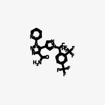 CC(c1ccc(C(F)(F)F)cc1C(F)(F)F)n1cc(-c2c(C(N)=O)nnn2-c2ccccn2)cn1